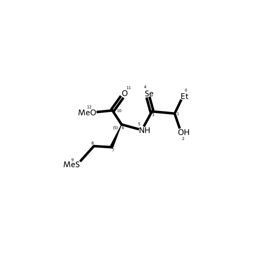 CCC(O)C(=[Se])N[C@@H](CCSC)C(=O)OC